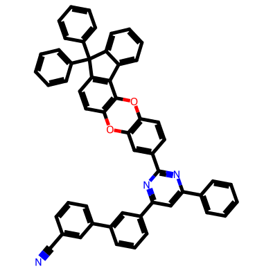 N#Cc1cccc(-c2cccc(-c3cc(-c4ccccc4)nc(-c4ccc5c(c4)Oc4ccc6c(c4O5)-c4ccccc4C6(c4ccccc4)c4ccccc4)n3)c2)c1